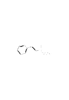 CN[SiH2]C=Cc1ccccc1